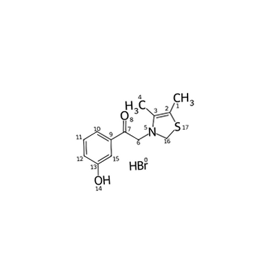 Br.CC1=C(C)N(CC(=O)c2cccc(O)c2)CS1